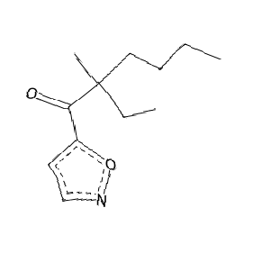 CCCCC(C)(CC)C(=O)c1ccno1